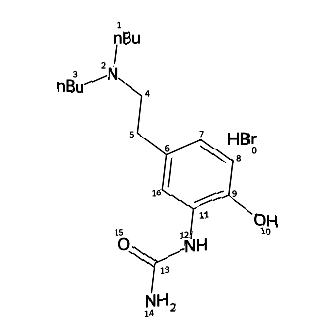 Br.CCCCN(CCCC)CCc1ccc(O)c(NC(N)=O)c1